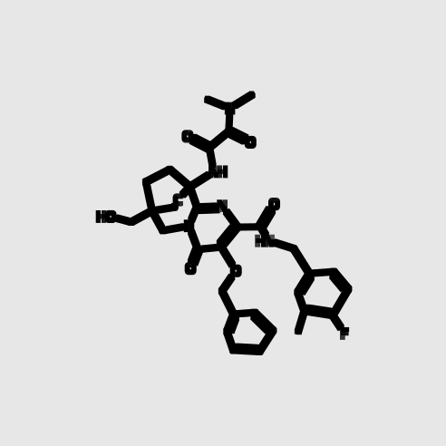 Cc1cc(CNC(=O)c2nc3n(c(=O)c2OCc2ccccc2)CC2(CO)CCC3(NC(=O)C(=O)N(C)C)CC2)ccc1F